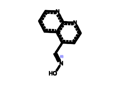 O/N=C/c1ccnc2ncccc12